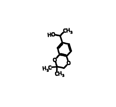 CC(O)c1ccc2c(c1)OC(C)(C)CO2